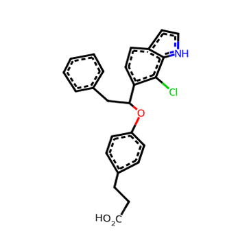 O=C(O)CCc1ccc(OC(Cc2ccccc2)c2ccc3cc[nH]c3c2Cl)cc1